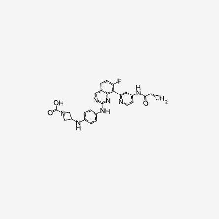 C=CC(=O)Nc1ccnc(-c2c(F)ccc3cnc(Nc4ccc(NC5CN(C(=O)O)C5)cc4)nc23)c1